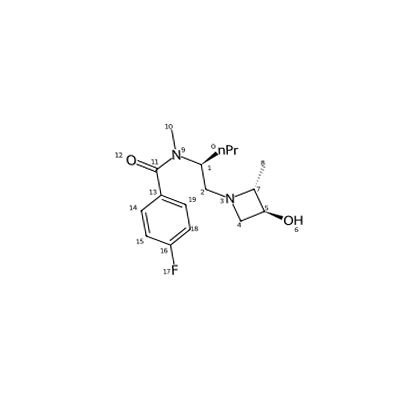 CCC[C@@H](CN1C[C@H](O)[C@H]1C)N(C)C(=O)c1ccc(F)cc1